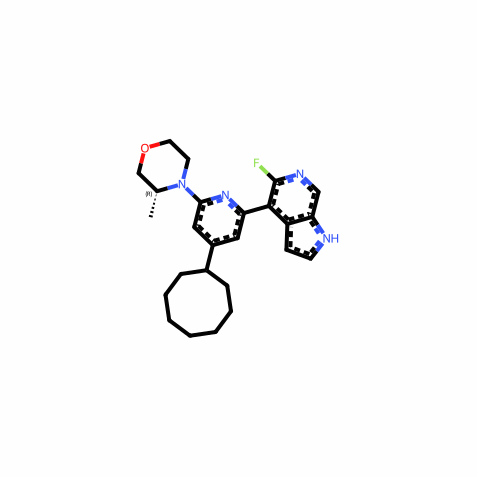 C[C@@H]1COCCN1c1cc(C2CCCCCCC2)cc(-c2c(F)ncc3[nH]ccc23)n1